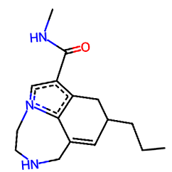 CCCC1C=C2CNCCn3cc(C(=O)NC)c(c32)C1